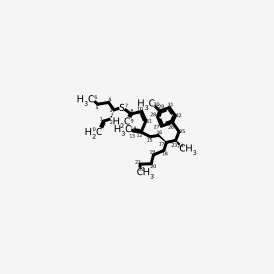 C=CC[C@H](CCC)SC(=C)/C=C\C(=C/C)CC[C@H](CCCCC)[C@H](C)Cc1ccc(C)cc1